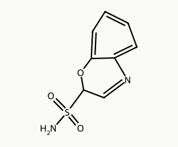 NS(=O)(=O)C1C=Nc2ccccc2O1